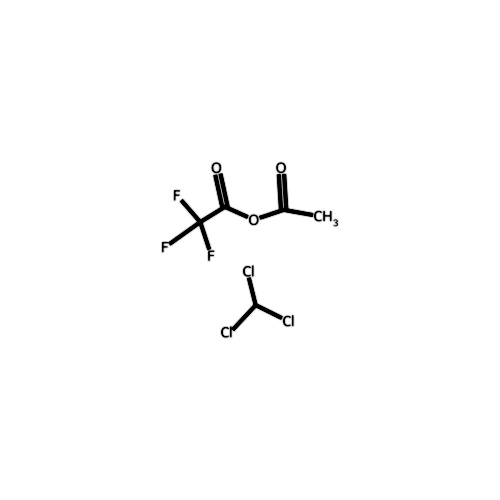 CC(=O)OC(=O)C(F)(F)F.ClC(Cl)Cl